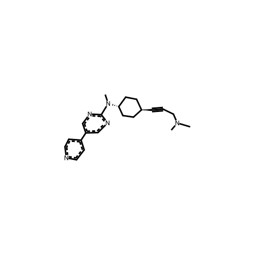 CN(C)CC#C[C@H]1CC[C@H](N(C)c2ncc(-c3ccncc3)cn2)CC1